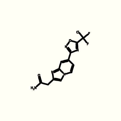 NC(=O)Cc1cn2ccc(-c3noc(C(F)(F)Cl)n3)cc2n1